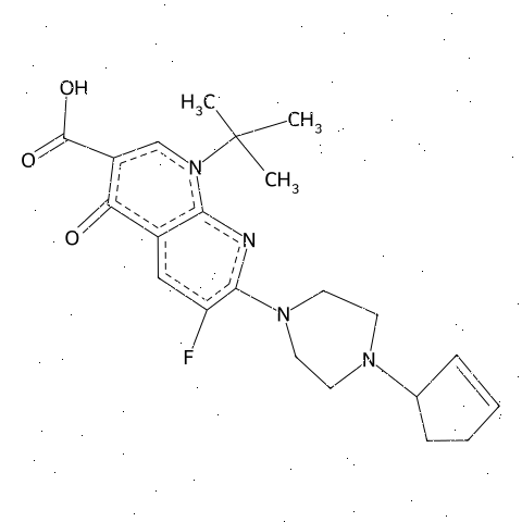 CC(C)(C)n1cc(C(=O)O)c(=O)c2cc(F)c(N3CCN(C4C=CCC4)CC3)nc21